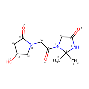 CC1(C)NC(=O)CN1C(=O)CN1CC(O)CC1=O